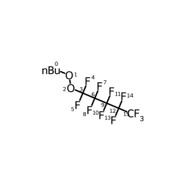 CCCCOOC(F)(F)C(F)(F)C(F)(F)C(F)(F)C(F)(F)F